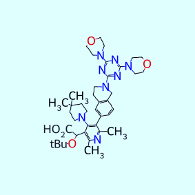 Cc1nc(C)c(C(OC(C)(C)C)C(=O)O)c(N2CCC(C)(C)CC2)c1-c1ccc2c(c1)CCN(c1nc(N3CCOCC3)nc(N3CCOCC3)n1)C2